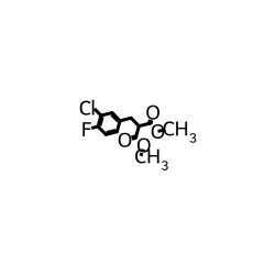 COC(=O)C(Cc1ccc(F)c(Cl)c1)C(=O)OC